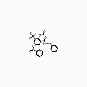 O=COc1c(C(=O)NCc2ccccc2)cccc1C(F)(F)F.O=[N+]([O-])c1ccccc1